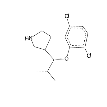 CC(C)[C@@H](Oc1cc(Cl)ccc1Cl)C1CCNC1